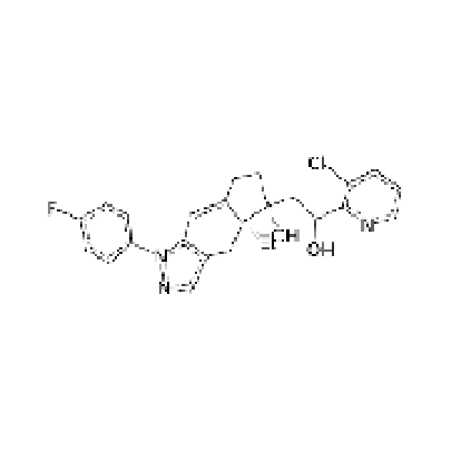 CC[C@]12Cc3cnn(-c4ccc(F)cc4)c3C=C1CC[C@@]2(O)CC(O)c1ncccc1Cl